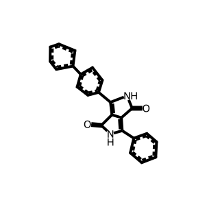 O=C1NC(c2ccc(-c3ccccc3)cc2)=C2C(=O)NC(c3ccccc3)=C12